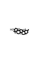 C=C1CC[C@]2(C)CC[C@]3(C)C(=CC[C@@H]4[C@@]5(C)CC[C@H](O)C(C)(C)C5CC[C@]43C)[C@@H]2[C@H]1C